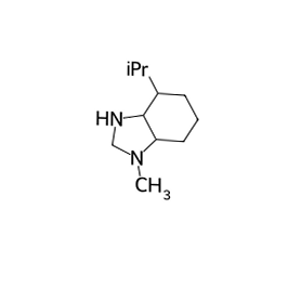 CC(C)C1CCCC2C1NCN2C